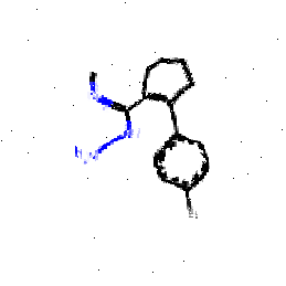 CCc1ccc(C2=C(/C(=N\C)NN)CCC2)cc1